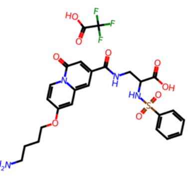 NCCCCOc1ccn2c(=O)cc(C(=O)NCC(NS(=O)(=O)c3ccccc3)C(=O)O)cc2c1.O=C(O)C(F)(F)F